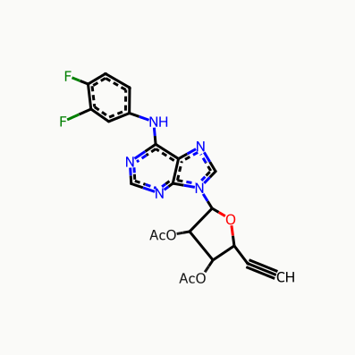 C#CC1OC(n2cnc3c(Nc4ccc(F)c(F)c4)ncnc32)C(OC(C)=O)C1OC(C)=O